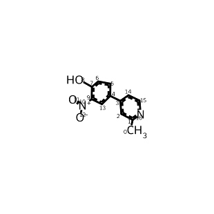 Cc1cc(-c2ccc(O)c([N+](=O)[O-])c2)ccn1